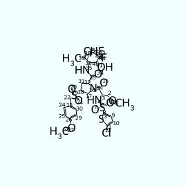 COCC(NS(=O)(=O)c1ccc(Cl)s1)C(=O)N1C[C@H](S(=O)(=O)Cc2ccc(OC)cc2)C[C@H]1C(=O)NC(C(C)C)C(O)C(F)(F)F